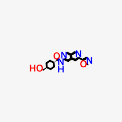 O=C(Nc1cc2cc(-c3cnco3)ncc2cn1)[C@H]1CC[C@H](CO)CC1